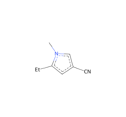 CCc1cc(C#N)cn1C